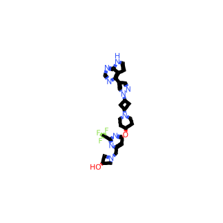 OC1CN(Cc2cc(OC3CCN(C4CC(n5cc(-c6ncnc7[nH]ccc67)cn5)C4)CC3)nc(C(F)(F)F)n2)C1